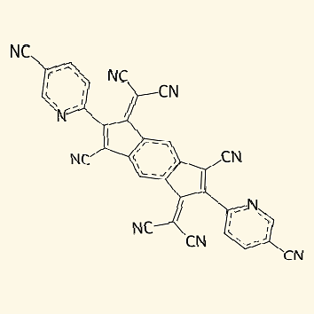 N#CC(C#N)=C1C(c2ccc(C#N)cn2)=C(C#N)c2cc3c(cc21)C(C#N)=C(c1ccc(C#N)cn1)C3=C(C#N)C#N